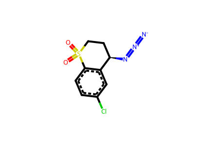 [N-]=[N+]=N[C@@H]1CCS(=O)(=O)c2ccc(Cl)cc21